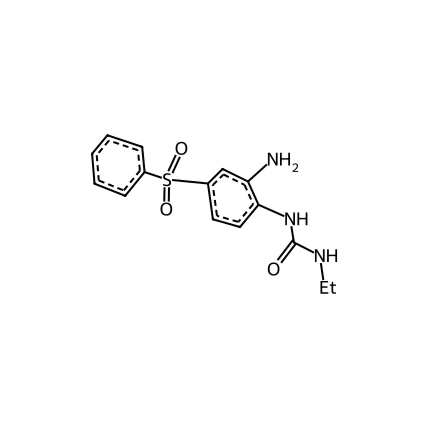 CCNC(=O)Nc1ccc(S(=O)(=O)c2ccccc2)cc1N